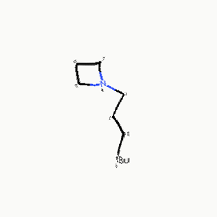 CC(C)(C)CCCN1CCC1